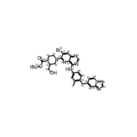 Cc1cc(Nc2ncnc3cc(Br)c(N4CCN(C(=O)OC(C)(C)C)C(CO)C4)nc23)ccc1Cc1ccn2ncnc2c1